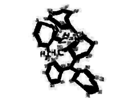 Cc1cccnc1C.Cc1ccncc1.Cc1ncccc1C(c1ccccc1)c1ccccc1